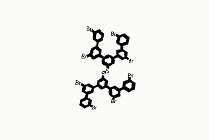 Brc1cccc(-c2cc(Br)cc(-c3cc(SSc4cc(-c5cc(Br)cc(-c6cccc(Br)c6)c5)cc(-c5cc(Br)cc(-c6cccc(Br)c6)c5)c4)cc(-c4cc(Br)cc(-c5cccc(Br)c5)c4)c3)c2)c1